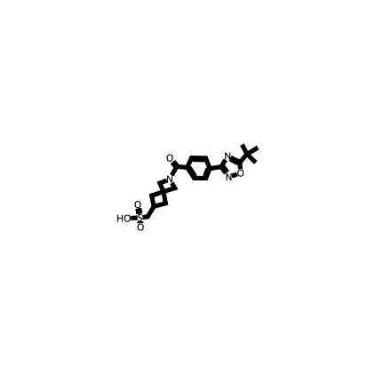 CC(C)(C)c1nc(-c2ccc(C(=O)N3CC4(CC(CS(=O)(=O)O)C4)C3)cc2)no1